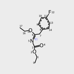 CCOC(=O)/N=C(\Cc1ccc(F)cc1)OCC